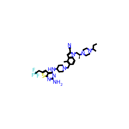 CCC(C)N1CCN([C@@H](C)Cn2c(C#N)cc3c(C)c(CN4CCC(Nc5nc(N)nc6sc(CC(F)(F)F)cc56)CC4)ccc32)CC1